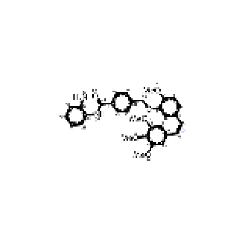 COc1ccc(/C=C\c2cc(OC)c(OC)c(OC)c2)cc1OCc1ccc(C(=O)Nc2ccccc2N)cc1